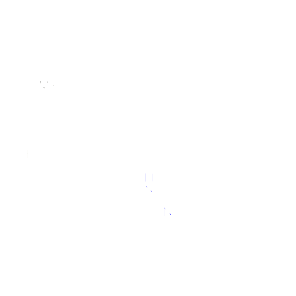 COc1ccccc1-c1cc(C)c(F)c(C(=O)NNS(=O)(=O)C2CCCCC2)c1